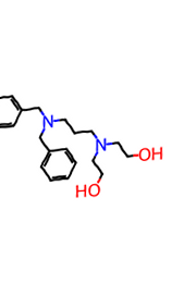 OCCN(CCO)CCCN(Cc1ccccc1)Cc1ccccc1